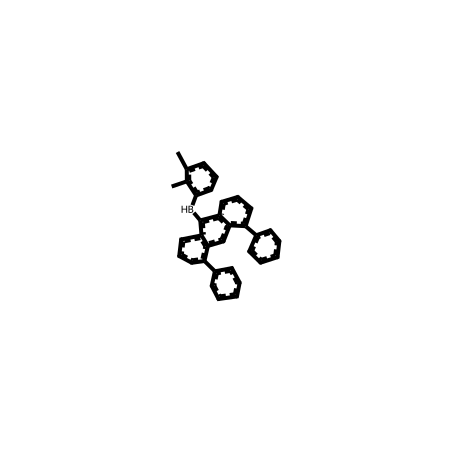 Cc1cccc(Bc2c3cccc(-c4ccccc4)c3cc3c(-c4ccccc4)cccc23)c1C